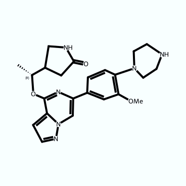 COc1cc(-c2cn3nccc3c(O[C@H](C)C3CNC(=O)C3)n2)ccc1N1CCNCC1